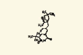 CC(C)(C)CC(CC(C=O)CC(CC(C=O)C(C)(C)C)C(N)=O)C(N)=O